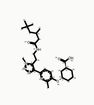 Cc1nc(-c2nnn(C)c2CCNC(=O)CC(C)CC(C)(C)C)ccc1O[C@H]1CCC[C@H](C(=O)O)C1